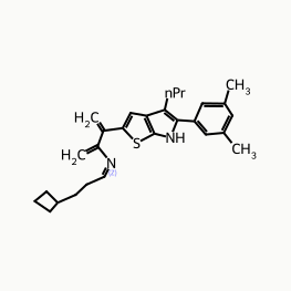 C=C(/N=C\CCC1CCC1)C(=C)c1cc2c(CCC)c(-c3cc(C)cc(C)c3)[nH]c2s1